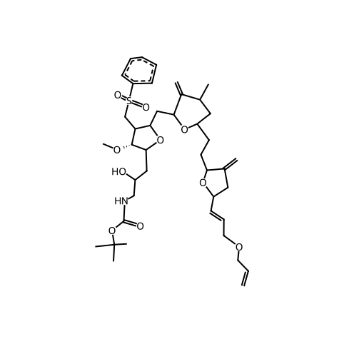 C=CCOC/C=C/C1CC(=C)C(CCC2CC(C)C(=C)C(CC3OC(CC(O)CNC(=O)OC(C)(C)C)[C@H](OC)C3CS(=O)(=O)c3ccccc3)O2)O1